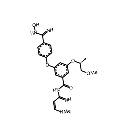 CN/C=C\C(=N)NC(=O)c1cc(Oc2ccc(C(=N)NO)cc2)cc(O[C@@H](C)COC)c1